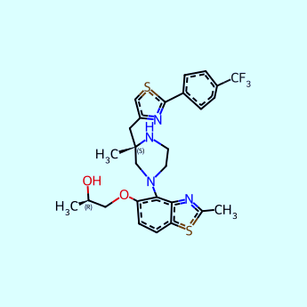 Cc1nc2c(N3CCN[C@@](C)(Cc4csc(-c5ccc(C(F)(F)F)cc5)n4)C3)c(OC[C@@H](C)O)ccc2s1